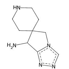 NC1c2nncn2CC12CCNCC2